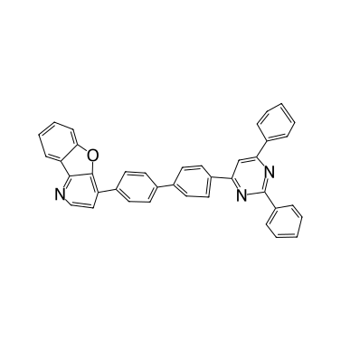 c1ccc(-c2cc(-c3ccc(-c4ccc(-c5ccnc6c5oc5ccccc56)cc4)cc3)nc(-c3ccccc3)n2)cc1